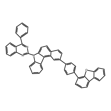 c1ccc(-c2nc(-n3c4ccccc4c4c5cc(-c6ccc(-c7cccc8c7oc7ccccc78)cc6)ccc5ccc43)nc3ccccc23)cc1